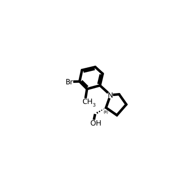 Cc1c(Br)cccc1N1CCC[C@@H]1CO